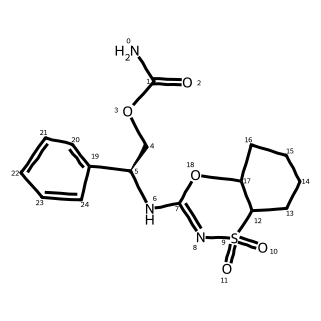 NC(=O)OC[C@@H](NC1=NS(=O)(=O)C2CCCCC2O1)c1ccccc1